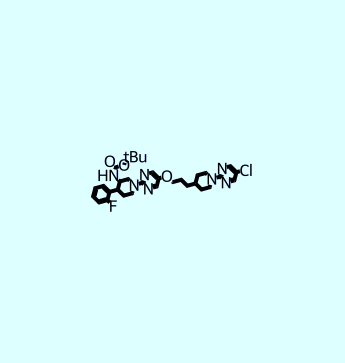 CC(C)(C)OC(=O)NC1CN(c2ncc(OCCCC3CCN(c4ncc(Cl)cn4)CC3)cn2)CCC1c1ccccc1F